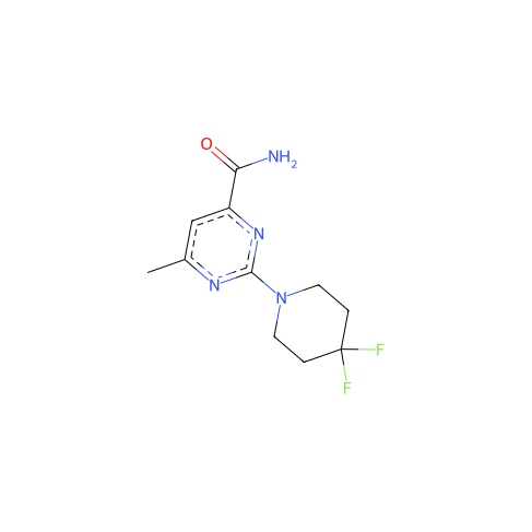 Cc1cc(C(N)=O)nc(N2CCC(F)(F)CC2)n1